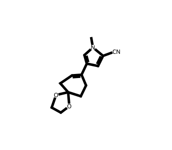 Cn1cc(C2=CCC3(CC2)OCCO3)cc1C#N